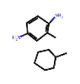 CC1CCCCC1.Cc1cc(N)ccc1N